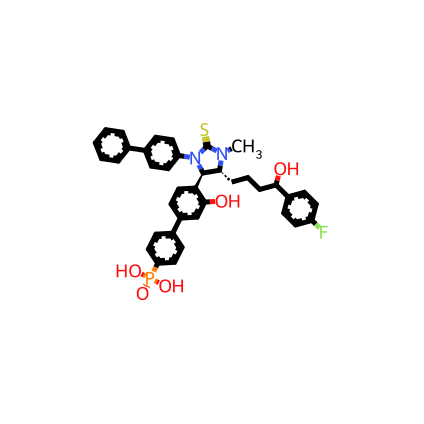 CN1C(=S)N(c2ccc(-c3ccccc3)cc2)[C@H](c2ccc(-c3ccc(P(=O)(O)O)cc3)cc2O)[C@H]1CCCC(O)c1ccc(F)cc1